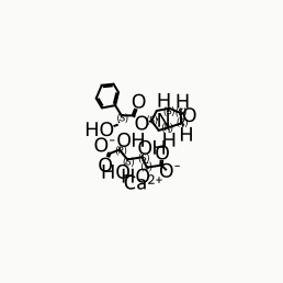 CN1[C@@H]2C[C@@H](OC(=O)[C@H](CO)c3ccccc3)C[C@H]1[C@@H]1O[C@@H]12.O=C([O-])[C@@H](O)[C@@H](O)[C@H](O)[C@@H](O)C(=O)[O-].[Ca+2]